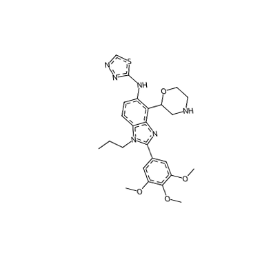 CCCn1c(-c2cc(OC)c(OC)c(OC)c2)nc2c(C3CNCCO3)c(Nc3nncs3)ccc21